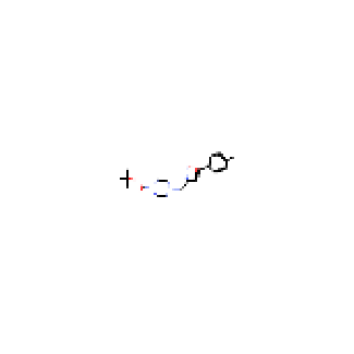 Cc1ccc(-c2cc(CN3CCN(C(=O)OC(C)(C)C)CC3)no2)cc1